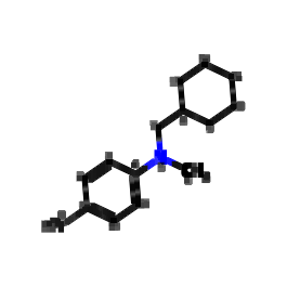 CCCc1ccc(N(C)CC2CCCCC2)cc1